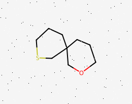 C1COCC2(C1)CCCSC2